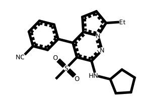 CCc1ccc2c(-c3cccc(C#N)c3)c(S(C)(=O)=O)c(NC3CCCC3)nn12